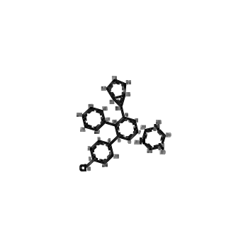 Clc1ccc(-c2cccc(-c3c4cccc3-4)c2-c2ccccc2)cc1.c1ncncn1